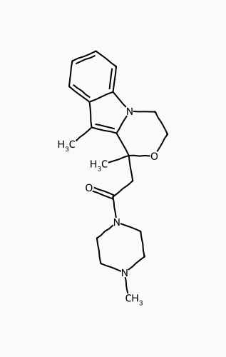 Cc1c2n(c3ccccc13)CCOC2(C)CC(=O)N1CCN(C)CC1